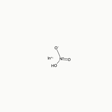 O=[N+]([O-])O.[In+]